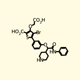 O=C(O)COc1c(C(=O)O)sc(-c2cccc(OC(C(=O)Nc3ccccc3)C3CCNCC3)c2)c1Br